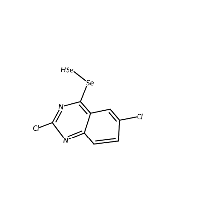 Clc1ccc2nc(Cl)nc([Se][SeH])c2c1